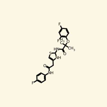 CC(C)(Oc1ccc(F)cc1F)C(=O)NC1NC(CC(=O)Nc2ccc(F)cc2)=CS1